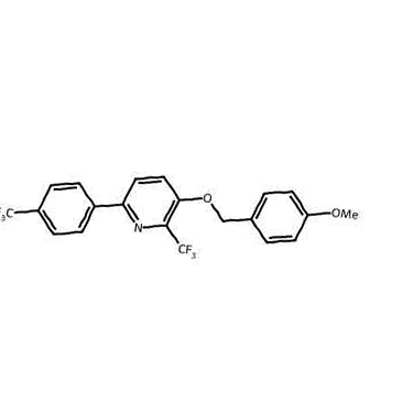 COc1ccc(COc2ccc(-c3ccc(C(F)(F)F)cc3)nc2C(F)(F)F)cc1